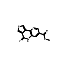 COC(=O)c1cnc2c(c1)[nH]c(=O)c1cscc12